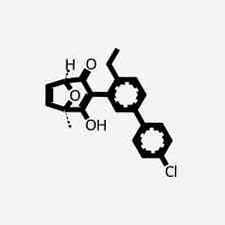 CCc1ccc(-c2ccc(Cl)cc2)cc1C1=C(O)[C@@]2(C)C=C[C@H](O2)C1=O